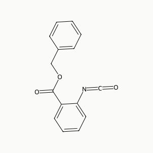 O=C=Nc1ccccc1C(=O)OCc1ccccc1